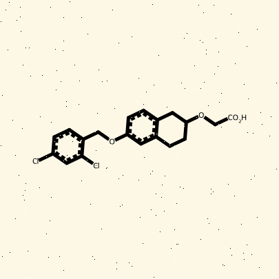 O=C(O)COC1CCc2cc(OCc3ccc(Cl)cc3Cl)ccc2C1